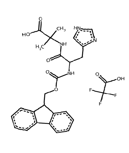 CC(C)(NC(=O)C(Cc1c[nH]cn1)NC(=O)OCC1c2ccccc2-c2ccccc21)C(=O)O.O=C(O)C(F)(F)F